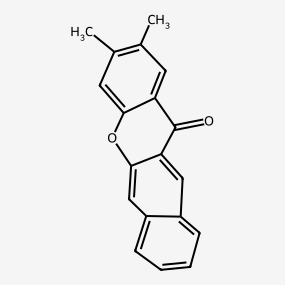 Cc1cc2oc3cc4ccccc4cc3c(=O)c2cc1C